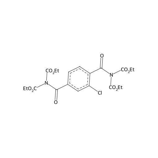 CCOC(=O)N(C(=O)OCC)C(=O)c1ccc(C(=O)N(C(=O)OCC)C(=O)OCC)c(Cl)c1